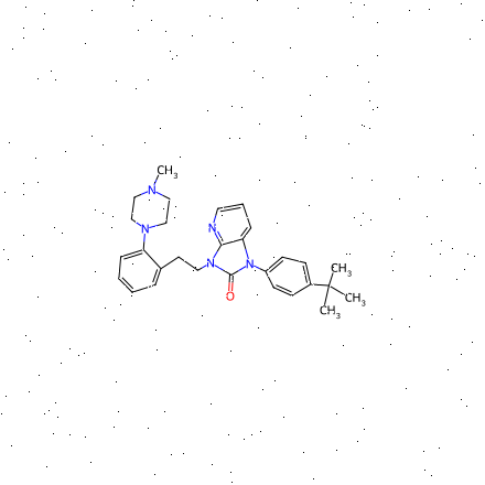 CN1CCN(c2ccccc2CCn2c(=O)n(-c3ccc(C(C)(C)C)cc3)c3cccnc32)CC1